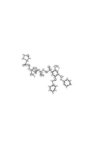 Cc1cc(OCc2ccccc2)c(OCc2ccccc2)cc1C(=O)OC[C@@H](O)CNC(C)(C)COC(=O)C1CCOC1